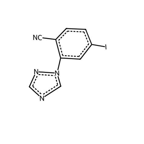 N#Cc1ccc(I)cc1-n1cncn1